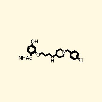 CC(=O)Nc1ccc(O)cc1OCCCNC1CCN(Cc2ccc(Cl)cc2)CC1